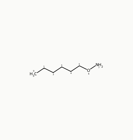 C[CH]CCCCON